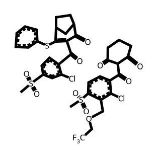 CS(=O)(=O)c1ccc(C(=O)C2=C(Sc3ccccc3)C3CCC(C3)C2=O)c(Cl)c1.CS(=O)(=O)c1ccc(C(=O)C2C(=O)CCCC2=O)c(Cl)c1COCC(F)(F)F